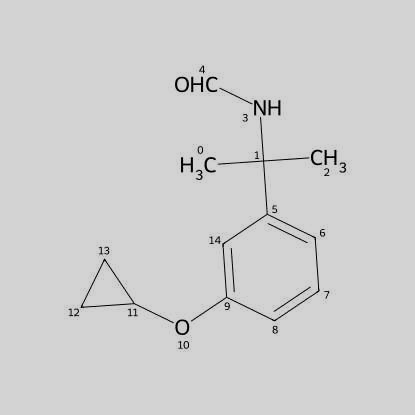 CC(C)(NC=O)c1cccc(OC2CC2)c1